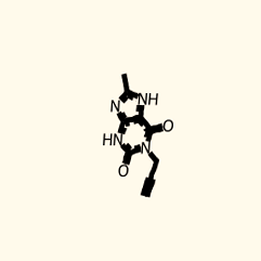 C#CCn1c(=O)[nH]c2nc(C)[nH]c2c1=O